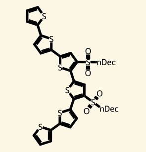 CCCCCCCCCCS(=O)(=O)c1cc(-c2ccc(-c3cccs3)s2)sc1-c1cc(S(=O)(=O)CCCCCCCCCC)c(-c2ccc(-c3cccs3)s2)s1